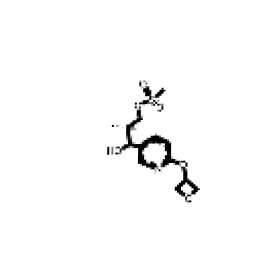 C[C@H](COS(C)(=O)=O)C(O)c1ccc(OC2COC2)nc1